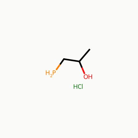 CC(O)CP.Cl